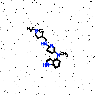 CN1CCC(CNc2ccc(N(C)c3cccc4[nH]ccc34)cn2)CC1